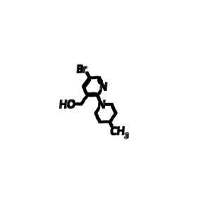 CC1CCN(c2ncc(Br)cc2CO)CC1